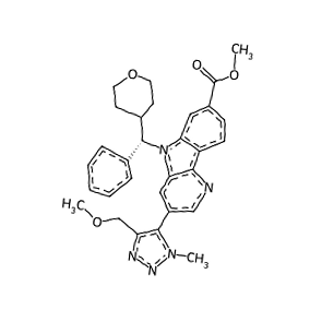 COCc1nnn(C)c1-c1cnc2c3ccc(C(=O)OC)cc3n([C@H](c3ccccc3)C3CCOCC3)c2c1